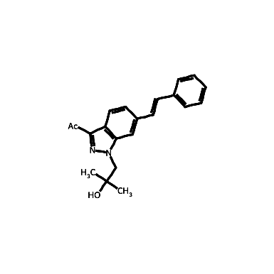 CC(=O)c1nn(CC(C)(C)O)c2cc(/C=C/c3ccccc3)ccc12